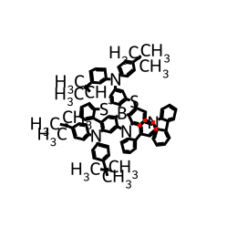 CC(C)(C)c1ccc(N(c2cccc(C(C)(C)C)c2)c2ccc3c(c2)Sc2cc(-n4c5ccccc5c5ccccc54)cc4c2B3c2c(cc(N(c3ccc(C(C)(C)C)cc3)c3ccc(C(C)(C)C)cc3)c3c2sc2ccccc23)N4c2ccccc2-c2ccccc2)cc1